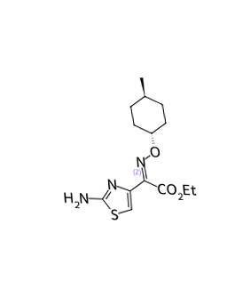 CCOC(=O)/C(=N\O[C@H]1CC[C@H](C)CC1)c1csc(N)n1